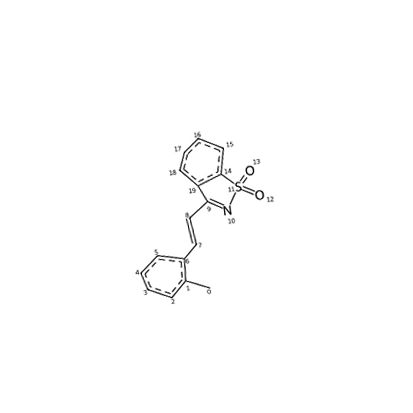 Cc1ccccc1C=CC1=NS(=O)(=O)c2ccccc21